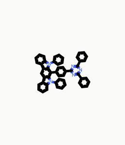 c1ccc(-c2nc(-c3ccccc3)nc(-c3ccc(-c4c5c(cc6c7ccccc7n(-c7ccccc7)c46)c4ccccc4n5-c4ccccc4)cc3)n2)cc1